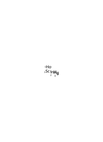 [Hg].[Ho].[InH3].[Sc]